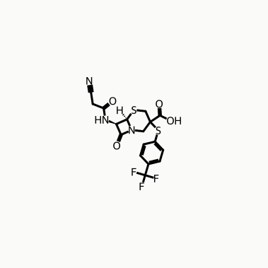 N#CCC(=O)N[C@@H]1C(=O)N2CC(Sc3ccc(C(F)(F)F)cc3)(C(=O)O)CS[C@H]12